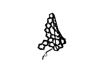 CCOCN1CC2C3=c4c5c6c7c(cc8cc9cc%10cc%11cc%12c%13c(c4c4c5c5c7c8c7c9c%10c8c%11c%13c4c8c75)=C(C3)C%12)CC62C1c1cccc2ccccc12